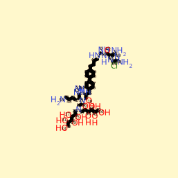 N=C(NCCCCc1ccc(-c2ccc(CCC(=O)N(CCN(C[C@H](O)[C@@H](O)[C@H](O)[C@H](O)CO)C[C@H](O)[C@@H](O)[C@H](O)[C@H](O)CO)[C@@H](CCCCN)c3nnn[nH]3)cc2)cc1)NC(=O)c1nc(Cl)c(N)nc1N